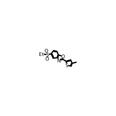 CCS(=O)(=O)c1ccc2oc(-c3cc(C)cs3)nc2c1